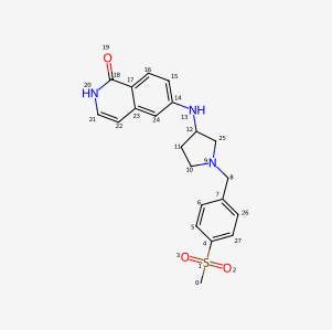 CS(=O)(=O)c1ccc(CN2CCC(Nc3ccc4c(=O)[nH]ccc4c3)C2)cc1